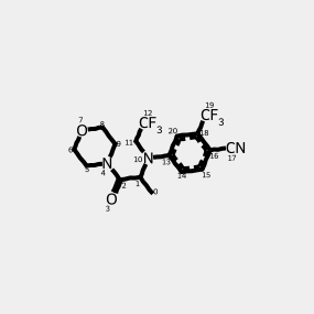 CC(C(=O)N1CCOCC1)N(CC(F)(F)F)c1ccc(C#N)c(C(F)(F)F)c1